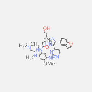 C=CC(=O)Nc1cc(Nc2nccc(-c3[nH]c(CCCO)nc3-c3ccc4occc4c3)n2)c(OC)cc1N(C)CCN(C)C